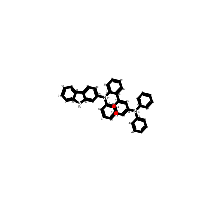 c1ccc(N(c2ccccc2)c2cccc(-c3ccccc3N(c3ccccc3)c3ccc4c(c3)sc3ccccc34)c2)cc1